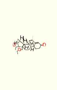 CCO[C@]1(C(C)=O)[C@H]2C[C@H]2[C@H]2[C@@H]3C[C@H](C)C4=CC(=O)CC[C@@H]4[C@H]3CC[C@@]21C